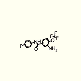 Nc1cc(C(=O)Nc2ccc(F)cc2)ccc1OC(F)(F)F